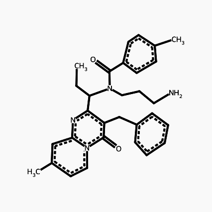 CCC(c1nc2cc(C)ccn2c(=O)c1Cc1ccccc1)N(CCCN)C(=O)c1ccc(C)cc1